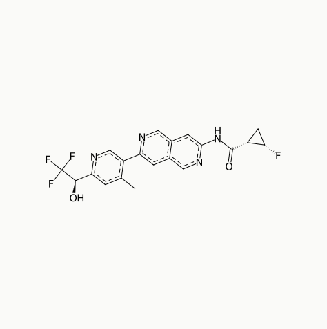 Cc1cc([C@@H](O)C(F)(F)F)ncc1-c1cc2cnc(NC(=O)[C@@H]3C[C@@H]3F)cc2cn1